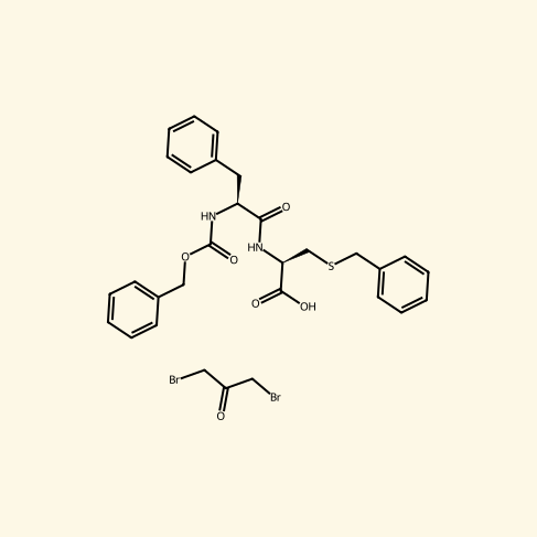 O=C(CBr)CBr.O=C(N[C@@H](Cc1ccccc1)C(=O)N[C@@H](CSCc1ccccc1)C(=O)O)OCc1ccccc1